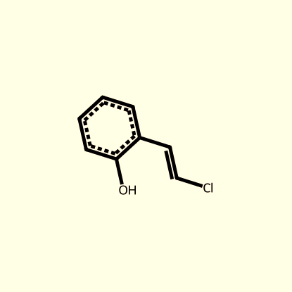 Oc1ccccc1C=CCl